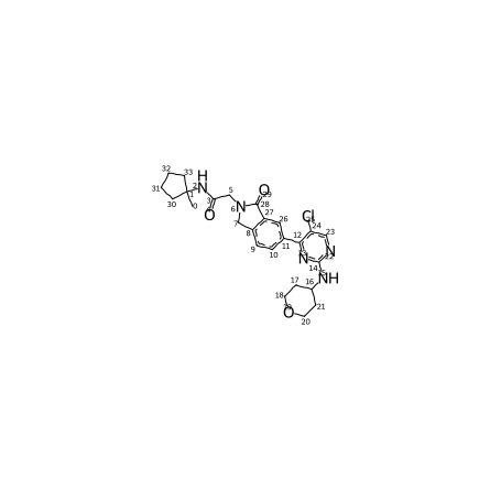 CC1(NC(=O)CN2Cc3ccc(-c4nc(NC5CCOCC5)ncc4Cl)cc3C2=O)CCCC1